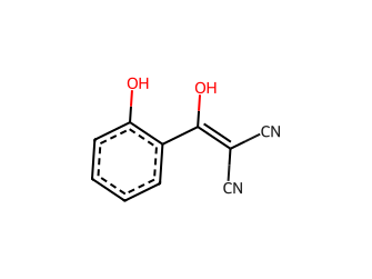 N#CC(C#N)=C(O)c1ccccc1O